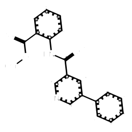 CC(C)(C)OC(=O)c1ccccc1NC(=O)c1cncc(-c2ccccc2)c1